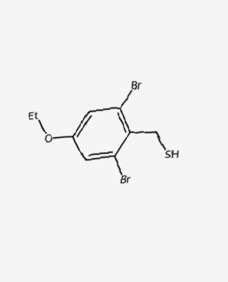 CCOc1cc(Br)c(CS)c(Br)c1